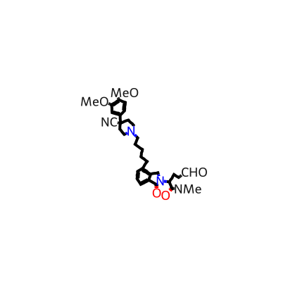 CNC(=O)C(CCC=O)N1Cc2c(CCCCCN3CCC(C#N)(c4ccc(OC)c(OC)c4)CC3)cccc2C1=O